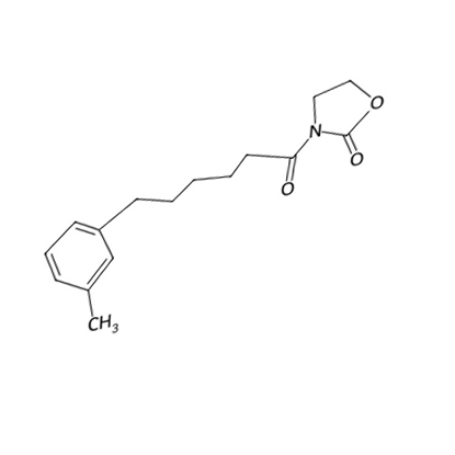 Cc1cccc(CCCCCC(=O)N2CCOC2=O)c1